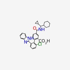 O=C(N[C@H](C1CCCCC1)C1CC1)c1ccc(-c2c(Cl)cccc2-c2nc3ccccc3[nH]2)c(C(=O)O)c1